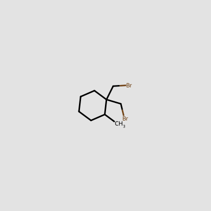 CC1CCCCC1(CBr)CBr